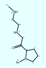 CC(=O)N1CCCC1C(=O)CNCCNI